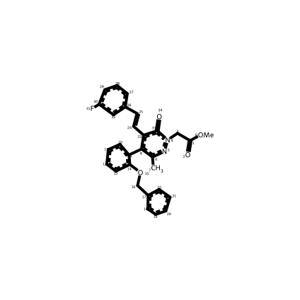 COC(=O)Cn1nc(C)c(-c2ccccc2OCc2ccccc2)c(/C=C/c2cccc(F)c2)c1=O